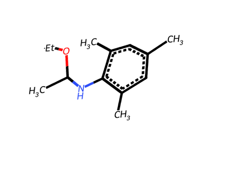 C[CH]OC(C)Nc1c(C)cc(C)cc1C